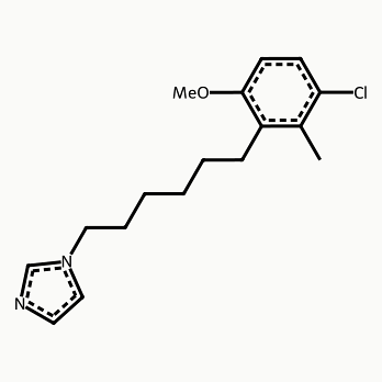 COc1ccc(Cl)c(C)c1CCCCCCn1ccnc1